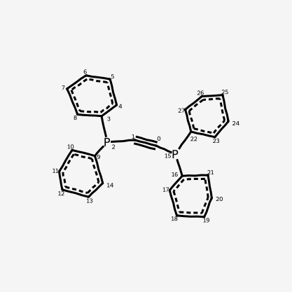 C(#CP(c1ccccc1)c1ccccc1)P(c1ccccc1)c1ccccc1